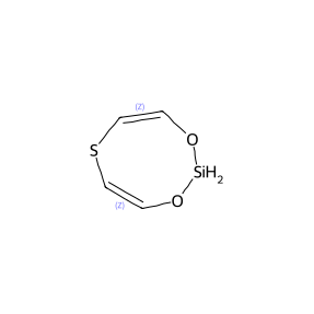 C1=C\S/C=C\O[SiH2]O/1